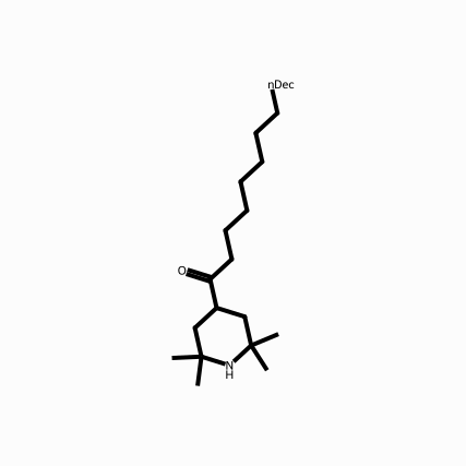 CCCCCCCCCCCCCCCCCC(=O)C1CC(C)(C)NC(C)(C)C1